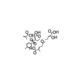 C/C(=C\CC1CO1)C(=O)O.C=C(C)C(=O)O.CC/C(=C(/C)C(=O)O)S(=O)(=O)c1ccc(C)cc1.CC/C=C(\O)C(=O)O